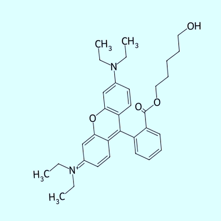 CCN(CC)c1ccc2c(-c3ccccc3C(=O)OCCCCCO)c3ccc(=[N+](CC)CC)cc-3oc2c1